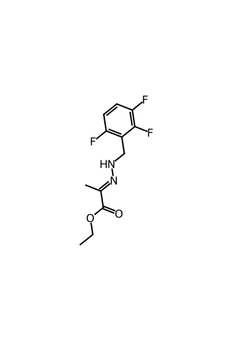 CCOC(=O)/C(C)=N/NCc1c(F)ccc(F)c1F